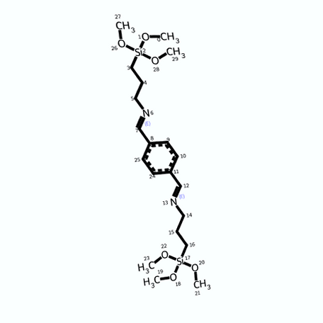 CO[Si](CCC/N=C/c1ccc(/C=N/CCC[Si](OC)(OC)OC)cc1)(OC)OC